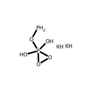 OP1(O)(OP)OO1.[KH].[KH]